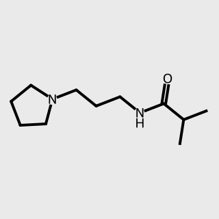 CC(C)C(=O)NCCCN1CCCC1